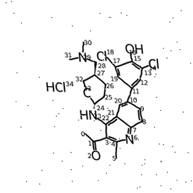 CC(=O)c1c(C)nc2ccc(-c3cc(Cl)c(O)c(Cl)c3)cc2c1N[C@H]1CC[C@H](CN(C)C)CC1.Cl